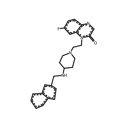 O=c1cnc2ccc(F)cc2n1CCN1CCC(NCc2ccc3ccccc3c2)CC1